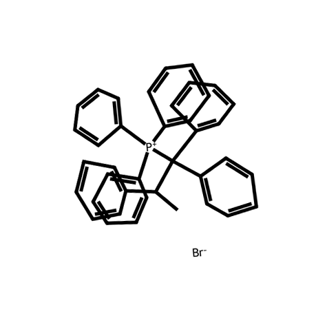 CC(c1ccccc1)C(c1ccccc1)(c1ccccc1)[P+](c1ccccc1)(c1ccccc1)c1ccccc1.[Br-]